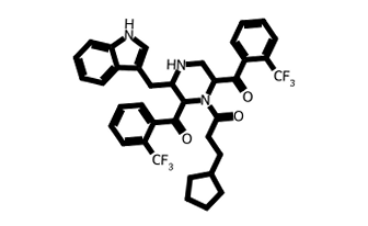 O=C(c1ccccc1C(F)(F)F)C1CNC(Cc2c[nH]c3ccccc23)C(C(=O)c2ccccc2C(F)(F)F)N1C(=O)CCC1CCCC1